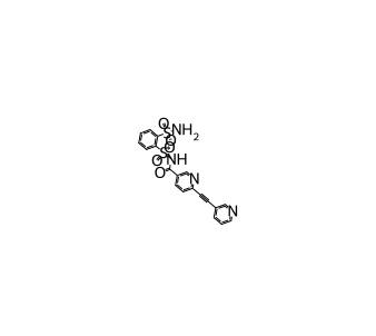 NS(=O)(=O)c1ccccc1S(=O)(=O)NC(=O)c1ccc(C#Cc2cccnc2)nc1